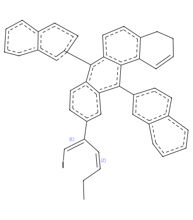 CC/C=C\C(=C/I)c1ccc2c(-c3ccc4ccccc4c3)c3ccc4c(c3c(-c3ccc5ccccc5c3)c2c1)C=CCC4